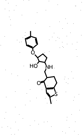 Cc1ccc(OC2CCC(NCC3CCc4sc(C)cc4C3=O)C2O)cc1